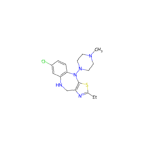 CCc1nc2c(s1)N(N1CCN(C)CC1)c1ccc(Cl)cc1NC2